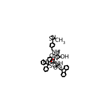 Cc1ncsc1-c1ccc(CNC(=O)[C@H]2[C@@H](F)[C@@H](O)CN2C(=O)[C@@H](NC(=O)OCC2c3ccccc3-c3ccccc32)C(C)(C)SC(c2ccccc2)(c2ccccc2)c2ccccc2)cc1